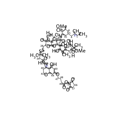 C/C=C(\C)Cc1cc(OC)c(Cl)c(N(C)C(=O)C[C@H](OC(=O)[C@H](C)N(C)C(=O)CCSSC(C)(C)CC(=O)N/N=C2\CCOc3cc(OCCCC(=O)ON4C(=O)CCC4=O)cc(O)c32)[C@@H](C)[C@@H](O)[C@H](C)[C@@H]2C[C@](O)([C@@H](C)OC)NC(=O)O2)c1